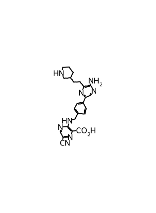 N#Cc1cnc(NCc2ccc(-c3cnc(N)c(CCC4CCCNC4)n3)cc2)c(C(=O)O)n1